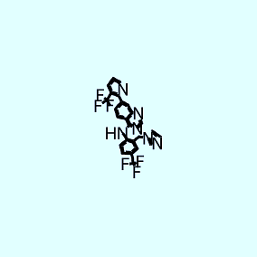 FC(F)(F)c1ccc(Nc2ncnc3cc(-c4ncccc4C(F)(F)F)ccc23)c(Cn2ccnc2)c1